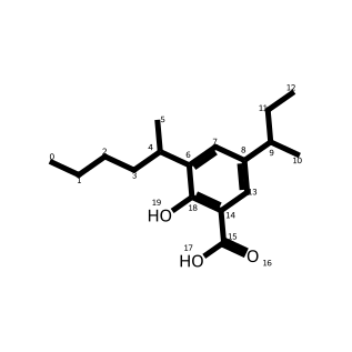 CCCCC(C)c1cc(C(C)CC)cc(C(=O)O)c1O